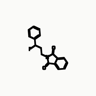 O=C1c2ccccc2C(=O)N1CCC(F)c1ccccc1